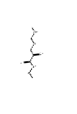 CCOC(=O)C(=O)CCCOC